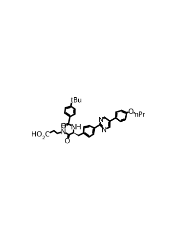 CCCOc1ccc(-c2cnc(-c3ccc(C[C@H](NC(=O)c4ccc(C(C)(C)C)cc4)C(=O)NCCC(=O)O)cc3)nc2)cc1